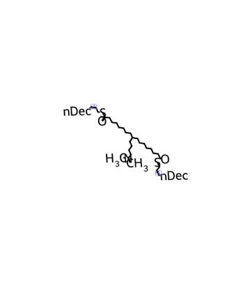 CCCCCCCCCC/C=C\CSC(=O)CCCCCCCC(CCCCCCCC(=O)SC/C=C\CCCCCCCCCC)CCCCN(C)C